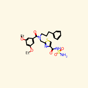 CCOc1cc(OCC)cc(C(=O)N(CCCc2ccccc2)Cc2nc(C(=O)NS(N)(=O)=O)cs2)c1